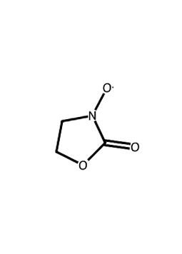 [O]N1CCOC1=O